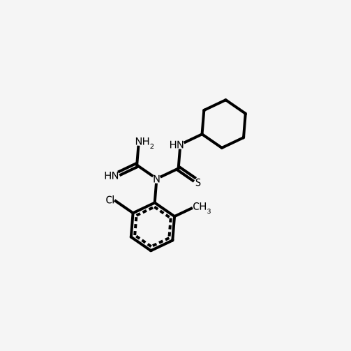 Cc1cccc(Cl)c1N(C(=N)N)C(=S)NC1CCCCC1